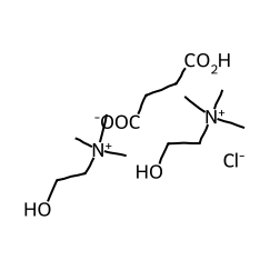 C[N+](C)(C)CCO.C[N+](C)(C)CCO.O=C([O-])CCC(=O)O.[Cl-]